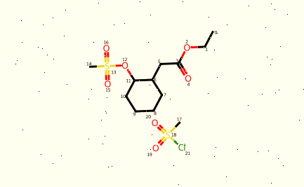 CCOC(=O)CC1CCCCC1OS(C)(=O)=O.CS(=O)(=O)Cl